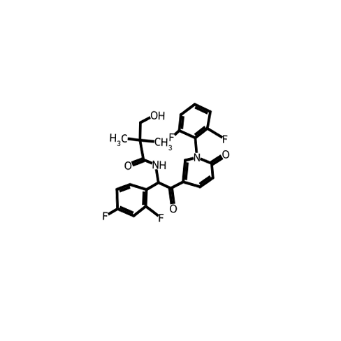 CC(C)(CO)C(=O)NC(C(=O)c1ccc(=O)n(-c2c(F)cccc2F)c1)c1ccc(F)cc1F